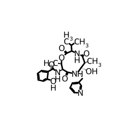 CC(C)C1NC(=O)[C@H](C)[C@H](O)[C@H](Cc2cccnc2)NC(=O)[C@@H](NC(=O)c2ccccc2O)[C@@H](C)OC1=O